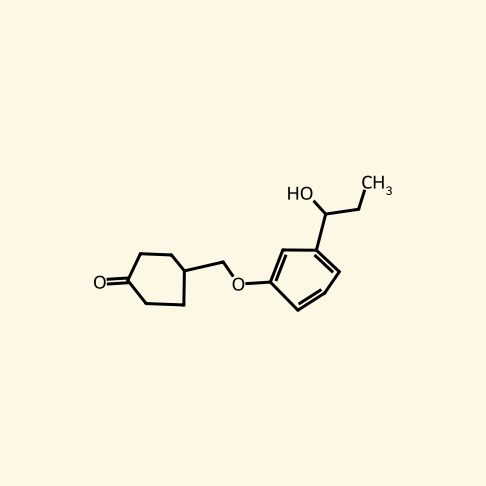 CCC(O)c1cccc(OCC2CCC(=O)CC2)c1